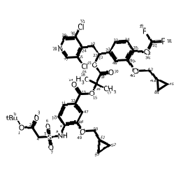 CC(C)(C)OC(=O)CS(=O)(=O)Nc1ccc(C(=O)OC(C)(C)C(=O)O[C@@H](Cc2c(Cl)cncc2Cl)c2ccc(OC(F)F)c(OCC3CC3)c2)cc1OCC1CC1